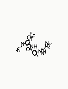 Cc1ccc(C(=O)Nc2cc(OC(F)(F)F)cc(N(C)CCN(C)C)c2)cc1-n1cc(-c2cnn(C)c2C)nn1